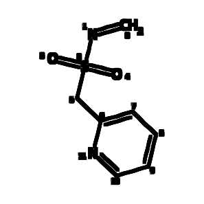 C=NS(=O)(=O)Cc1ccccn1